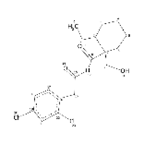 CCC1CCCCC1(CO)C(=O)OC(=O)Cc1ccc(Cl)cc1Cl